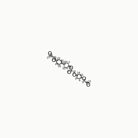 O=C(COc1ccc(OCC2CO2)cc1)O[C@H]1CC[C@H](c2ccc(OCC3CO3)cc2)CC1